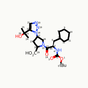 CC(C)(C)OC(=O)N[C@H](CC1CCCCC1)C(=O)N1CC(n2nncc2C(C)(C)O)CC1C(=O)O